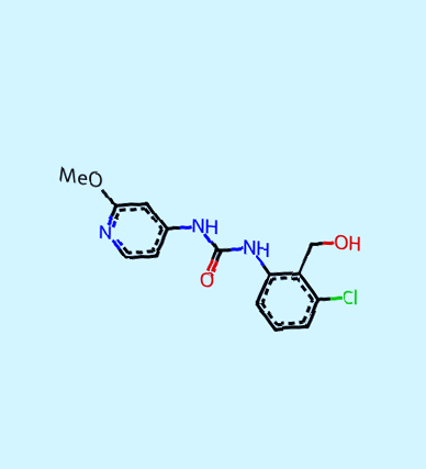 COc1cc(NC(=O)Nc2cccc(Cl)c2CO)ccn1